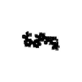 CNC(=O)c1cc(-c2cnnc(-c3cc(NC(=O)/C(N)=C/NC(C)(C)C)ccc3C)c2)ccn1